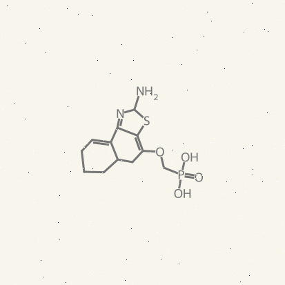 NC1N=C2C3=CCCCC3CC(OCP(=O)(O)O)=C2S1